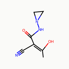 CC(O)=C(C#N)C(=O)NN1CC1